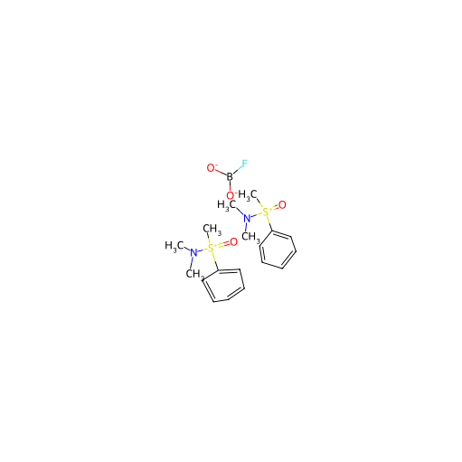 CN(C)[S+](C)(=O)c1ccccc1.CN(C)[S+](C)(=O)c1ccccc1.[O-]B([O-])F